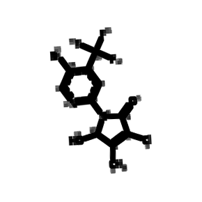 CC1=C(Cl)C(=O)N(c2cc(C(F)(F)F)c(Br)cn2)C1O